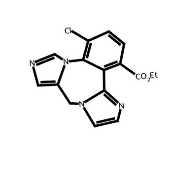 CCOC(=O)c1ccc(Cl)c2c1-c1nccn1Cc1cncn1-2